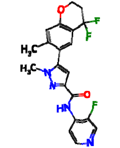 Cc1cc2c(cc1-c1cc(C(=O)Nc3ccncc3F)nn1C)C(F)(F)CCO2